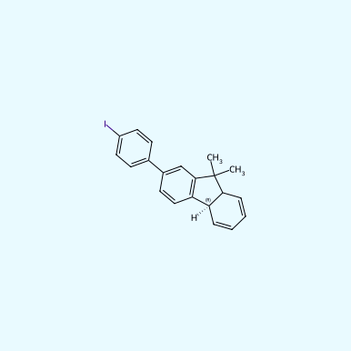 CC1(C)c2cc(-c3ccc(I)cc3)ccc2[C@@H]2C=CC=CC21